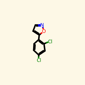 Clc1ccc(-c2ccno2)c(Cl)c1